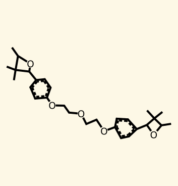 CC1OC(c2ccc(OCCOCCOc3ccc(C4OC(C)C4(C)C)cc3)cc2)C1(C)C